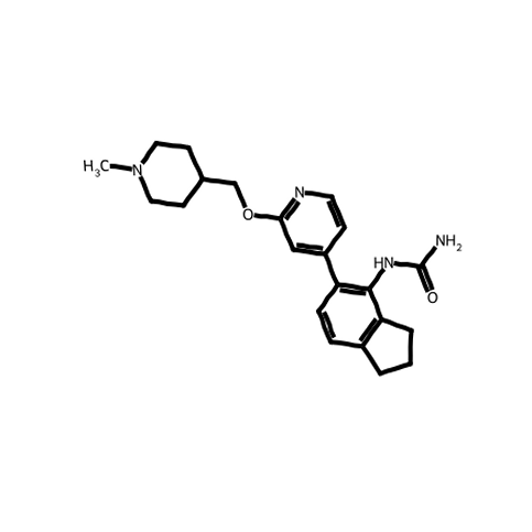 CN1CCC(COc2cc(-c3ccc4c(c3NC(N)=O)CCC4)ccn2)CC1